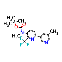 Cc1cncc(-c2ccc(N(C)C(=O)OC(C)(C)C)c(C(F)(F)F)n2)c1